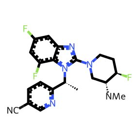 CN[C@@H]1CN(c2nc3cc(F)cc(F)c3n2[C@H](C)c2ccc(C#N)cn2)CC[C@H]1F